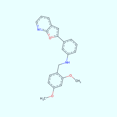 COc1ccc(CNc2cccc(-c3cc4cccnc4o3)c2)c(OC)c1